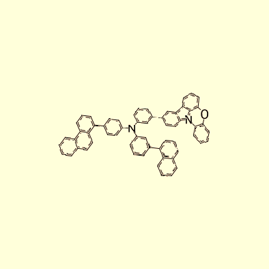 c1cc(-c2ccc3c(c2)c2cccc4c2n3-c2ccccc2O4)cc(N(c2ccc(-c3cccc4c3ccc3ccccc34)cc2)c2cccc(-c3cccc4ccccc34)c2)c1